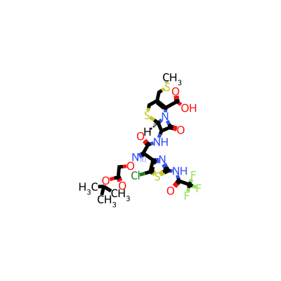 CSCC1=C(C(=O)O)N2C(=O)C(NC(=O)/C(=N/OCC(=O)OC(C)(C)C)c3nc(NC(=O)C(F)(F)F)sc3Cl)[C@H]2SC1